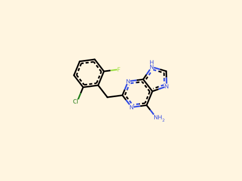 Nc1nc(Cc2c(F)cccc2Cl)nc2[nH]cnc12